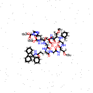 C[C@@H](OC(C)(C)C)[C@H](NC(=O)CNC(=O)[C@H](CCC(=O)NC(c1ccccc1)(c1ccccc1)c1ccccc1)NC(=O)[C@@H](COC(C)(C)C)NC(=O)[C@H](Cc1cn(C(=O)OC(C)(C)C)cn1)NC(=O)OC(C)(C)C)C(=O)N[C@@H](Cc1ccccc1)C(=O)N[C@H](C(=O)N[C@@H](CO)C(=O)O)[C@@H](C)OC(C)(C)C